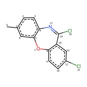 Cc1ccc2c(c1)Oc1ccc(Cl)cc1C(Cl)=N2